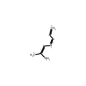 C=C/C=N\C=C(\C)N